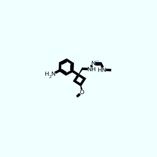 CN/C=N\NC[C@]1(c2cccc(N)c2)C[C@H](OC)C1